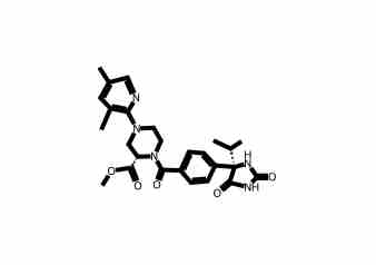 COC(=O)[C@@H]1CN(c2ncc(C)cc2C)CCN1C(=O)c1ccc([C@@]2(C(C)C)NC(=O)NC2=O)cc1